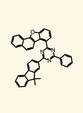 CC1(C)c2ccccc2-c2ccc(-c3nc(-c4ccccc4)nc(-c4cccc5oc6c7ccccc7ccc6c45)n3)cc21